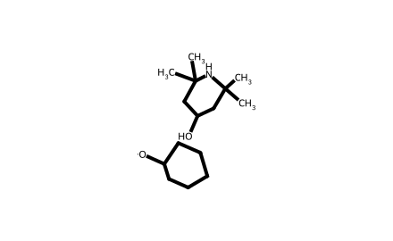 CC1(C)CC(O)CC(C)(C)N1.[O]C1CCCCC1